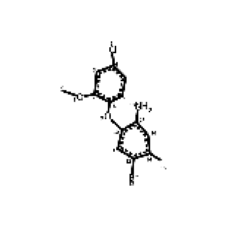 COc1cc(Cl)ccc1Oc1cc(Br)c(F)cc1N